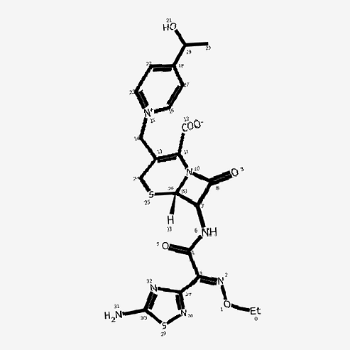 CCON=C(C(=O)NC1C(=O)N2C(C(=O)[O-])=C(C[n+]3ccc(C(C)O)cc3)CS[C@@H]12)c1nsc(N)n1